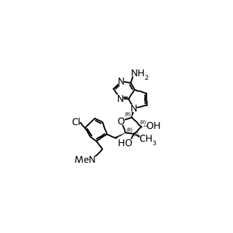 CNCc1cc(Cl)ccc1C[C@H]1O[C@@H](n2ccc3c(N)ncnc32)[C@H](O)[C@]1(C)O